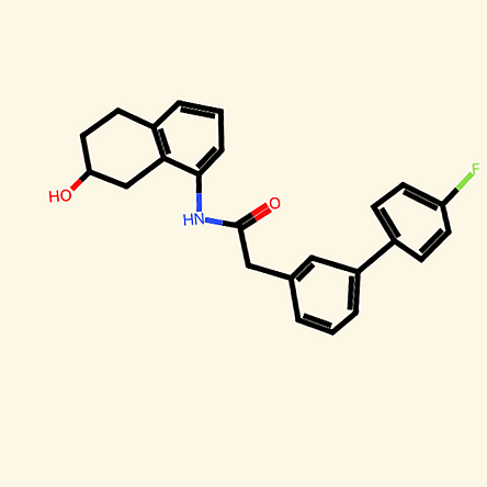 O=C(Cc1cccc(-c2ccc(F)cc2)c1)Nc1cccc2c1CC(O)CC2